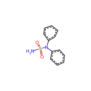 NS(=O)(=O)N(c1ccccc1)c1ccccc1